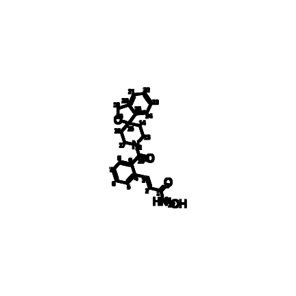 O=C(/C=C/c1ccccc1C(=O)N1CCC2(CC1)OCc1ccccc12)NO